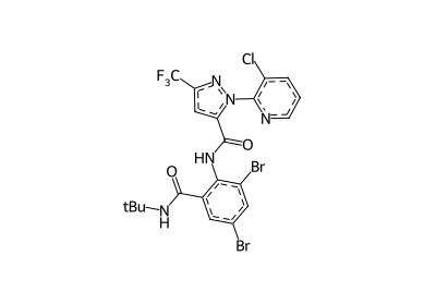 CC(C)(C)NC(=O)c1cc(Br)cc(Br)c1NC(=O)c1cc(C(F)(F)F)nn1-c1ncccc1Cl